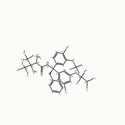 CC(C)(C)Oc1cc([C@@](Cc2ccccc2)(NC(=O)C(N)C(O)(C(F)(F)F)C(F)(F)F)c2cc(F)cc(OC(F)(F)C(F)F)c2)ccc1F